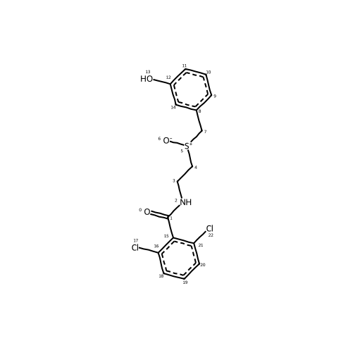 O=C(NCC[S+]([O-])Cc1cccc(O)c1)c1c(Cl)cccc1Cl